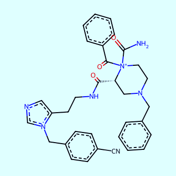 N#Cc1ccc(Cn2cncc2CCNC(=O)[C@H]2CN(Cc3ccccc3)CC[N+]2(C(N)=O)C(=O)c2ccccc2)cc1